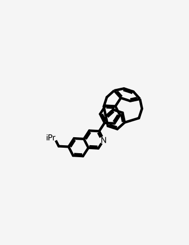 CC(C)Cc1ccc2cnc(-c3ccc(-c4cc5ccc4CCc4ccc(cc4)CC5)cc3)cc2c1